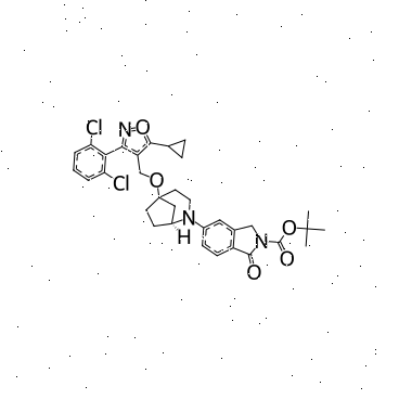 CC(C)(C)OC(=O)N1Cc2cc(N3CCC4(OCc5c(-c6c(Cl)cccc6Cl)noc5C5CC5)CC[C@H]3C4)ccc2C1=O